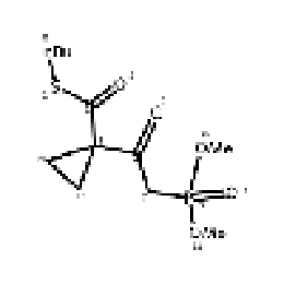 CCCCSC(=O)C1(C(=O)CP(=O)(OC)OC)CC1